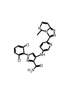 Cc1nccc2nnc(-c3ccc(Nc4cn(-c5c(Cl)cccc5Cl)nc4C(N)=O)cn3)n12